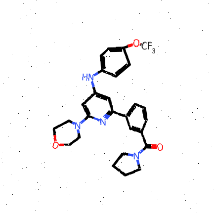 O=C(c1cccc(-c2cc(Nc3ccc(OC(F)(F)F)cc3)cc(N3CCOCC3)n2)c1)N1CCCC1